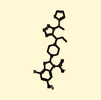 CCC(c1nnnn1C(C)c1cccs1)N1CCN(C2Sc3c(F)cc(N)cc3N2[N+](=O)[O-])CC1